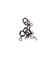 CS(=O)(=O)Nc1cc(Cl)ccc1/C=C/C(=O)N1C2CCC1CN(Cc1ccc(F)cc1)C2